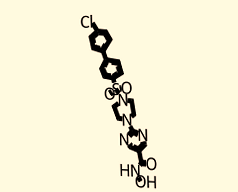 O=C(NO)c1cnc(N2CCN(S(=O)(=O)c3ccc(-c4ccc(Cl)cc4)cc3)CC2)nc1